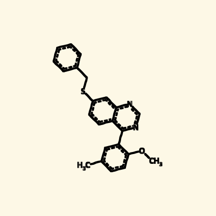 COc1ccc(C)cc1-c1ncnc2cc(SCc3ccccc3)ccc12